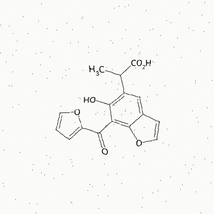 CC(C(=O)O)c1cc2ccoc2c(C(=O)c2ccco2)c1O